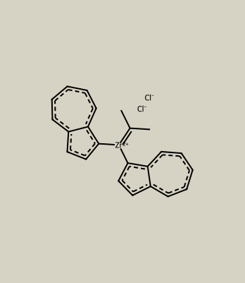 C[C](C)=[Zr+2]([c]1ccc2cccccc1-2)[c]1ccc2cccccc1-2.[Cl-].[Cl-]